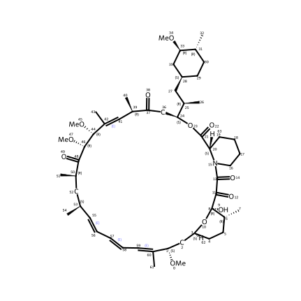 CO[C@H]1C[C@@H]2CC[C@@H](C)[C@@](O)(O2)C(=O)C(=O)N2CCCC[C@H]2C(=O)O[C@H]([C@H](C)C[C@@H]2CC[C@@H](C)[C@H](OC)C2)CC(=O)[C@H](C)/C=C(\C)[C@@H](OC)[C@@H](OC)C(=O)[C@H](C)C[C@H](C)/C=C/C=C/C=C/1C